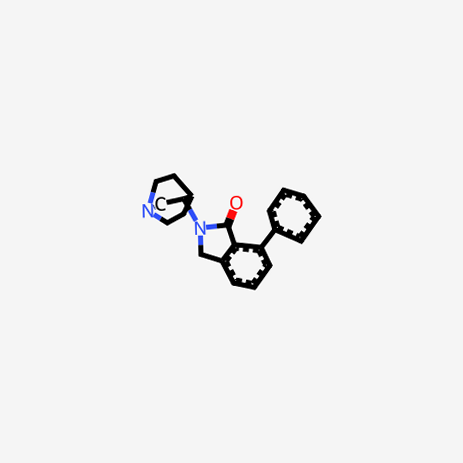 O=C1c2c(cccc2-c2ccccc2)CN1C1CN2CCC1CC2